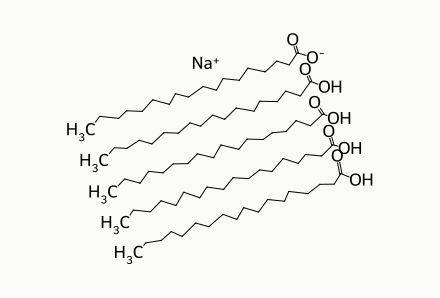 CCCCCCCCCCCCCCCCCC(=O)O.CCCCCCCCCCCCCCCCCC(=O)O.CCCCCCCCCCCCCCCCCC(=O)O.CCCCCCCCCCCCCCCCCC(=O)O.CCCCCCCCCCCCCCCCCC(=O)[O-].[Na+]